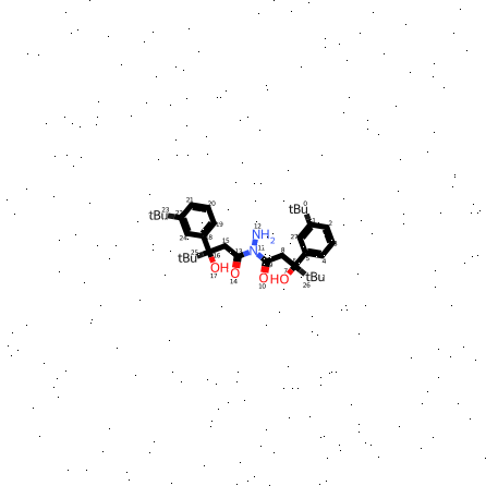 CC(C)(C)c1cccc(C(O)(CC(=O)N(N)C(=O)CC(O)(c2cccc(C(C)(C)C)c2)C(C)(C)C)C(C)(C)C)c1